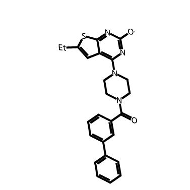 CCc1cc2c(N3CCN(C(=O)c4cccc(-c5ccccc5)c4)CC3)nc([O])nc2s1